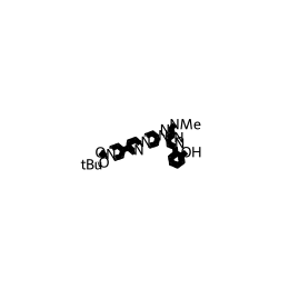 CNc1nn(C2CCN(c3ccc(C4CCN(C(=O)OC(C)(C)C)CC4)cn3)CC2)c2cc(-c3ccccc3O)nnc12